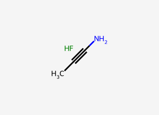 CC#CN.F